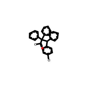 O=C(Cl)C(c1ccccc1)(c1ccccc1)C(c1ccccc1)c1ccc(Cl)cc1